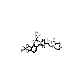 C[C@H]1COCCN1CCc1nc2c3ccc4c(c3nc(N)n2n1)OC(F)(F)O4